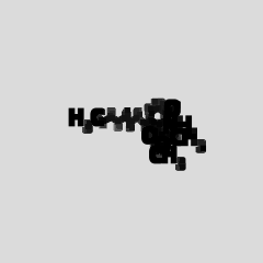 CCCCCCCCC1CCC(=O)c2[nH]c(C)c(OCC)c(=O)c21